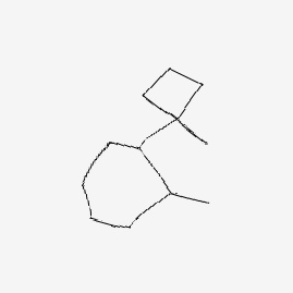 C[C]1CCCCC1C1(C)CCC1